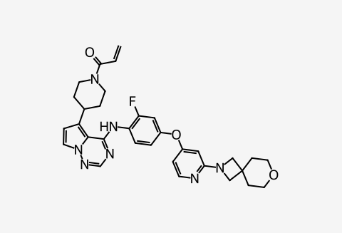 C=CC(=O)N1CCC(c2ccn3ncnc(Nc4ccc(Oc5ccnc(N6CC7(CCOCC7)C6)c5)cc4F)c23)CC1